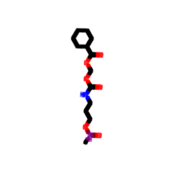 C[PH](=O)OCCCNC(=O)OCOC(=O)C1CCCCC1